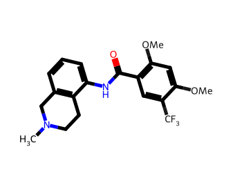 COc1cc(OC)c(C(F)(F)F)cc1C(=O)Nc1cccc2c1CCN(C)C2